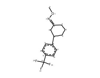 CON=C1CCCC(c2ccc(C(F)(F)F)cc2)C1